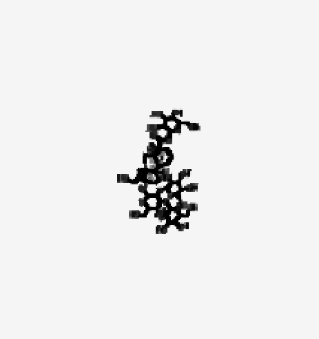 C[C@@]12CCC[C@@](C)(C(=O)OC3OC(CO)C(O)C(O)C3O)[C@H]1CC[C@]13C=C(CO)[C@](OC4OC(CO)C(O)C(OC5OC(CO)C(O)C(O)C5O)C4OC4OC(CO)C(O)C(O)C4O)(CC[C@H]12)C3